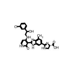 Cc1cc(C2=N[C@H](C(=O)O)CN2)cc2[nH]c(-c3c(NCC(O)c4cccc(Cl)c4)cc[nH]c3=O)nc12